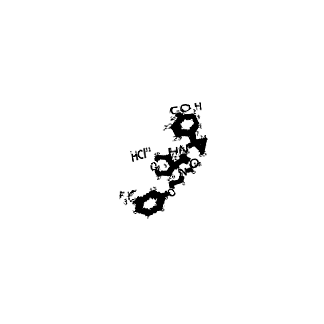 CN(CCOc1cccc(C(F)(F)F)c1)C1(C(=O)NC2(c3ccc(C(=O)O)cc3)CC2)CCOCC1.Cl